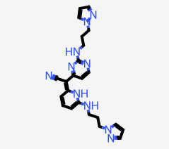 N#CC(=C1C=CC=C(NCCCn2cccn2)N1)c1ccnc(NCCCn2cccn2)n1